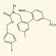 CCN(Cc1ccc(C)cc1-c1cc(CC(=O)O)ccc1OC)C(=O)OCc1ccc(F)cc1